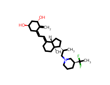 C=C1/C(=C\C=C2/CCC[C@]3(C)[C@@H](C(C)CN4CCC[C@H](C(C)(F)F)C4)CC[C@@H]23)C[C@@H](O)C[C@@H]1O